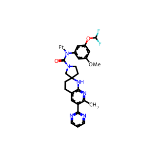 CCN(C(=O)N1CCC2(CCc3cc(-c4ncccn4)c(C)nc3N2)C1)c1cc(OC)cc(OC(F)F)c1